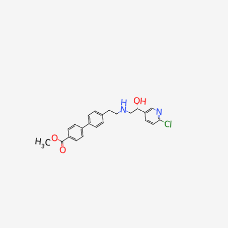 COC(=O)c1ccc(-c2ccc(CCNC[C@H](O)c3ccc(Cl)nc3)cc2)cc1